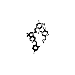 COC[C@@H]1CN(C[C@@H]2CN[C@H](C)CN2CC(=O)N2CC(C)(C)c3nnc(Cc4ccc(F)cc4F)cc32)C(=O)CO1